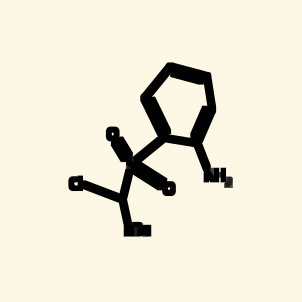 CCCCC(Cl)S(=O)(=O)c1ccccc1N